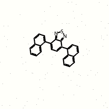 c1ccc2c(-c3ccc(-c4cccc5ccccc45)c4nsnc34)cccc2c1